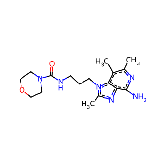 Cc1nc(N)c2nc(C)n(CCCNC(=O)N3CCOCC3)c2c1C